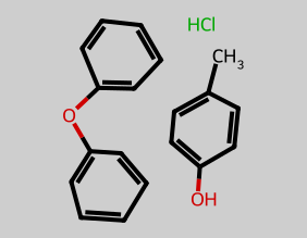 Cc1ccc(O)cc1.Cl.c1ccc(Oc2ccccc2)cc1